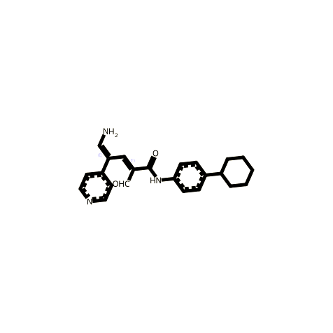 N/C=C(\C=C(/C=O)C(=O)Nc1ccc(C2CCCCC2)cc1)c1ccncc1